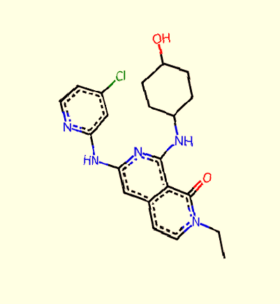 CCn1ccc2cc(Nc3cc(Cl)ccn3)nc(NC3CCC(O)CC3)c2c1=O